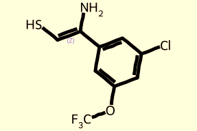 N/C(=C\S)c1cc(Cl)cc(OC(F)(F)F)c1